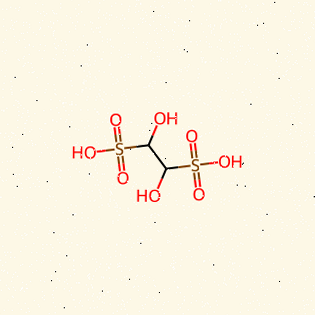 O=S(=O)(O)C(O)C(O)S(=O)(=O)O